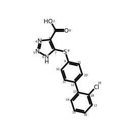 O=C(O)c1nn[nH]c1Sc1ccc(-c2ccccc2Cl)cc1